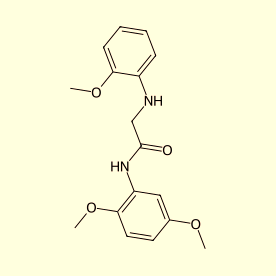 COc1ccc(OC)c(NC(=O)CNc2ccccc2OC)c1